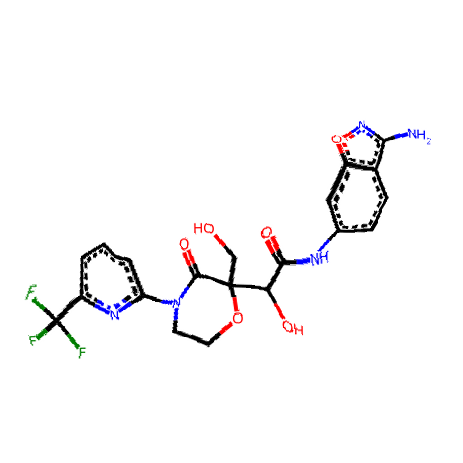 Nc1noc2cc(NC(=O)C(O)C3(CO)OCCN(c4cccc(C(F)(F)F)n4)C3=O)ccc12